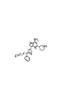 CCOC(=O)C(c1ccccc1)n1cc(-c2cnn3c(N)cc(C4CCCNC4)nc23)cn1